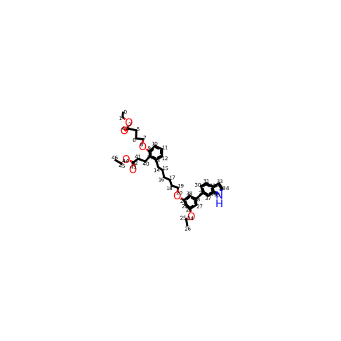 CCOC(=O)CCCOc1cccc(CCCCCCOc2cc(OCC)cc(-c3ccc4cc[nH]c4c3)c2)c1CCC(=O)OCC